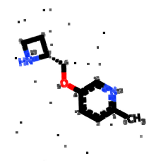 Cc1ccc(OC[C@H]2CCN2)cn1